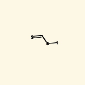 S=CSI